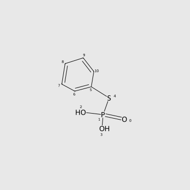 O=P(O)(O)Sc1ccccc1